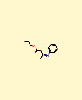 CCCOC(=O)CC(C)=Nc1ccccc1